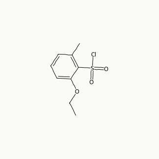 CCOc1cccc(C)c1S(=O)(=O)Cl